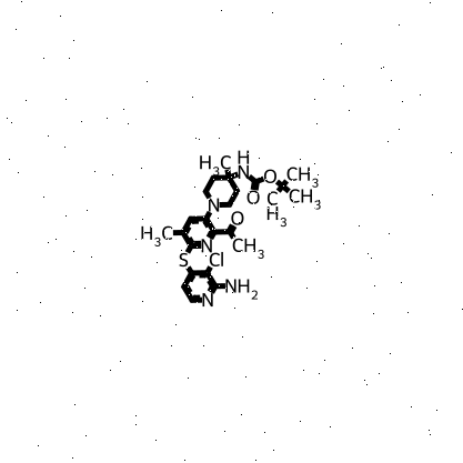 CC(=O)c1nc(Sc2ccnc(N)c2Cl)c(C)cc1N1CCC(C)(NC(=O)OC(C)(C)C)CC1